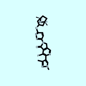 Cc1nn(C)cc1-c1ncc2c(c1F)C(=O)N(c1ccc(OC3C[C@]4(C)CC[C@](C)(C3)N4)nn1)C2